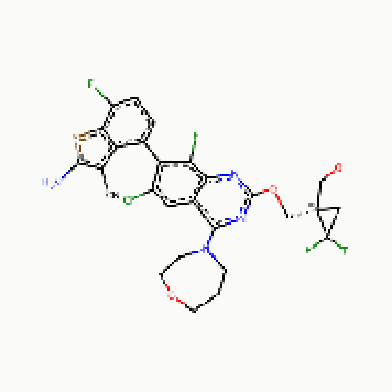 N#Cc1c(N)sc2c(F)ccc(-c3c(Cl)cc4c(N5CCCOCC5)nc(OC[C@]5(CO)CC5(F)F)nc4c3F)c12